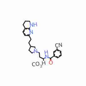 N#Cc1cccc(C(=O)NC(CCN2CCC(CCc3ccc4c(n3)NCCC4)C2)C(=O)O)c1